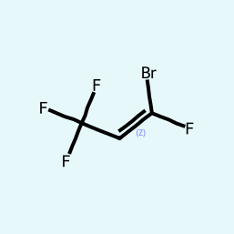 F/C(Br)=C/C(F)(F)F